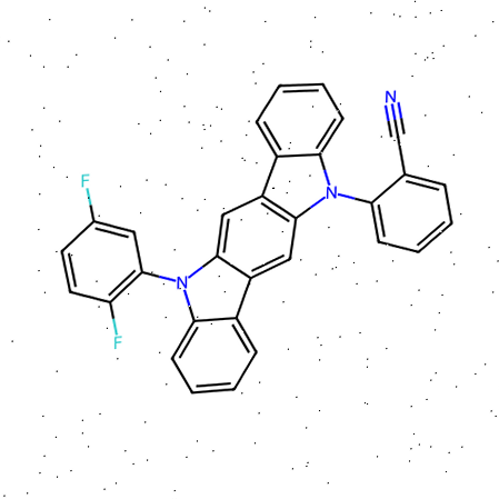 N#Cc1ccccc1-n1c2ccccc2c2cc3c(cc21)c1ccccc1n3-c1cc(F)ccc1F